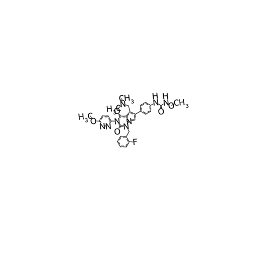 CONC(=O)Nc1ccc(-c2cn3c(c2CN(C)C)c(=O)n(-c2ccc(OC)nn2)c(=O)n3Cc2ccccc2F)cc1